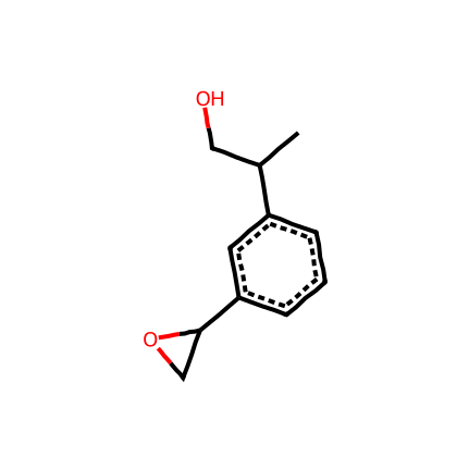 CC(CO)c1cccc(C2CO2)c1